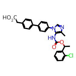 Cc1ncn(-c2ccc(-c3ccc(CC(=O)O)cc3)cc2)c1NC(=O)OC(C)c1ccccc1Cl